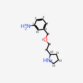 Nc1cccc(COCCC2CCCN2)c1